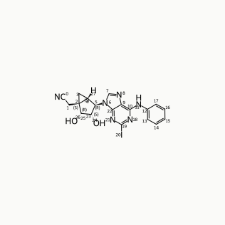 N#CC[C@@]12C[C@@H]1[C@@H](n1cnc3c(Nc4ccccc4)nc(I)nc31)[C@H](O)[C@@H]2O